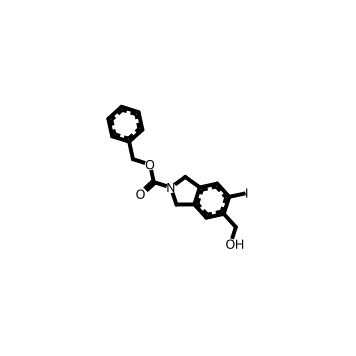 O=C(OCc1ccccc1)N1Cc2cc(I)c(CO)cc2C1